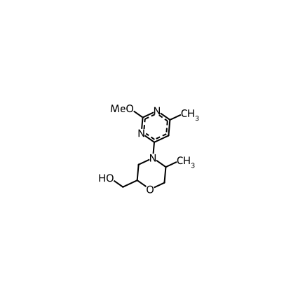 COc1nc(C)cc(N2CC(CO)OCC2C)n1